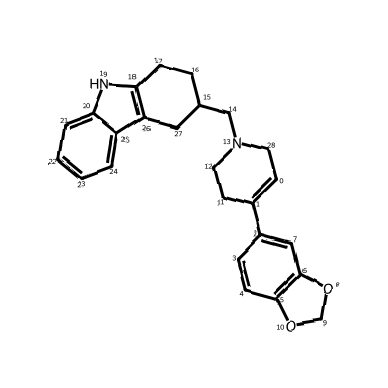 C1=C(c2ccc3c(c2)OCO3)CCN(CC2CCc3[nH]c4ccccc4c3C2)C1